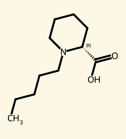 CCCCCN1CCCC[C@@H]1C(=O)O